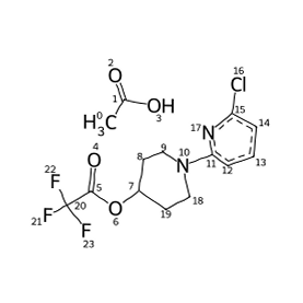 CC(=O)O.O=C(OC1CCN(c2cccc(Cl)n2)CC1)C(F)(F)F